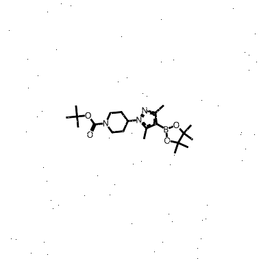 Cc1nn(C2CCN(C(=O)OC(C)(C)C)CC2)c(C)c1B1OC(C)(C)C(C)(C)O1